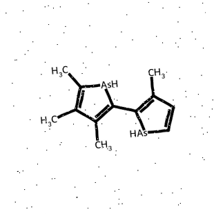 CC1=C(C2=C(C)C(C)=C(C)[AsH]2)[AsH]C=C1